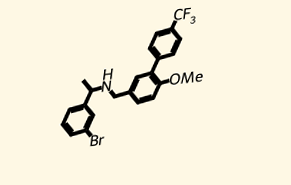 COc1ccc(CNC(C)c2cccc(Br)c2)cc1-c1ccc(C(F)(F)F)cc1